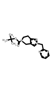 CC(C)(C)OC(=O)N1CCc2nn(Cc3ncccn3)cc2C1